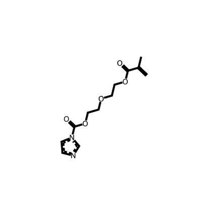 C=C(C)C(=O)OCCOCCOC(=O)n1ccnc1